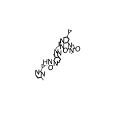 Cc1ccnc([C@H]2C[C@@H]2C(=O)Nc2nccc3nn(Cc4cn5cc(C6CC6)cc(N6CC(=O)N(C)C6=O)c5n4)cc23)n1